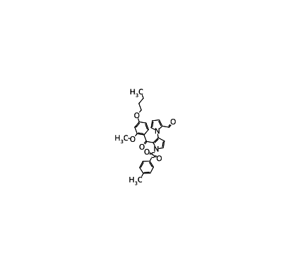 CCCCOc1ccc(C(=O)c2c(-n3cccc3C=O)ccn2S(=O)(=O)c2ccc(C)cc2)c(OC)c1